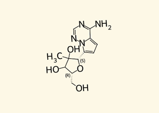 CC1(O)C(O)[C@@H](CO)O[C@H]1c1ccc2c(N)ncnn12